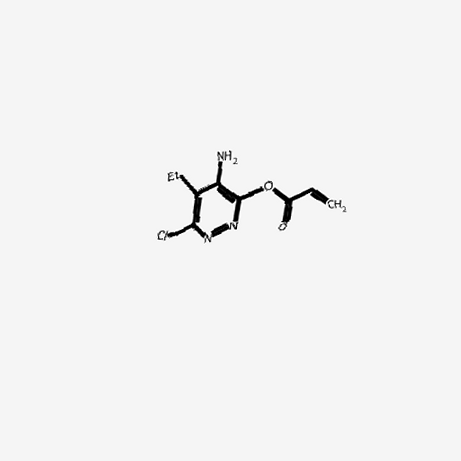 C=CC(=O)Oc1nnc(Cl)c(CC)c1N